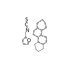 S=C=NCc1ccco1.c1ccc2c(c1)ccc1c3c(ccc12)CCCC3